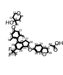 Cc1cc(OCC2(O)CCOCC2)cc(C)c1-c1cc(C(F)(F)F)cc2c1CC[C@H]2Oc1ccc2c(c1)OC[C@H]2CC(=O)O